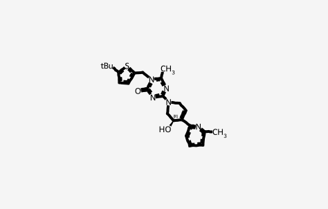 Cc1cccc(C2=CCN(c3nc(C)n(Cc4ccc(C(C)(C)C)s4)c(=O)n3)C[C@@H]2O)n1